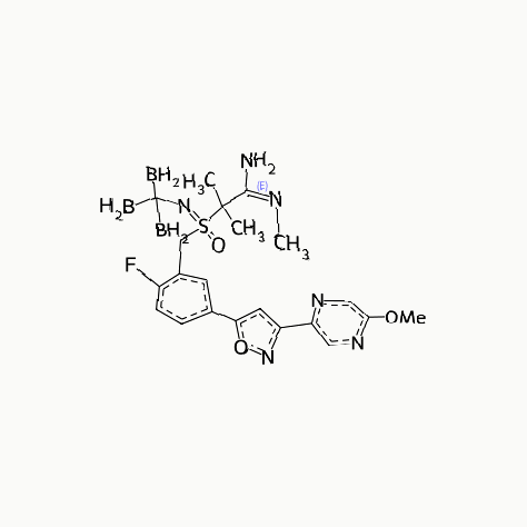 BC(B)(B)N=S(=O)(Cc1cc(-c2cc(-c3cnc(OC)cn3)no2)ccc1F)C(C)(C)/C(N)=N\C